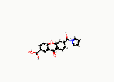 O=C(O)c1ccc2oc3cc(C(=O)n4cccc4)ccc3c(=O)c2c1